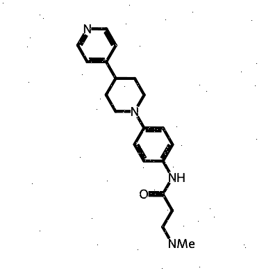 CNCCC(=O)Nc1ccc(N2CCC(c3ccncc3)CC2)cc1